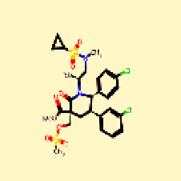 CC[C@@H](CN(C)S(=O)(=O)C1CC1)N1C(=O)[C@@](COS(C)(=O)=O)(C(=O)OC)C[C@H](c2cccc(Cl)c2)[C@H]1c1ccc(Cl)cc1